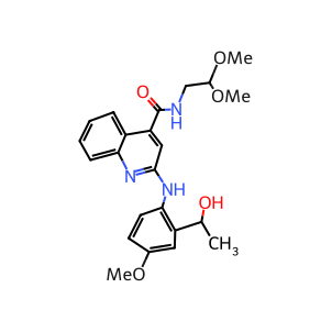 COc1ccc(Nc2cc(C(=O)NCC(OC)OC)c3ccccc3n2)c(C(C)O)c1